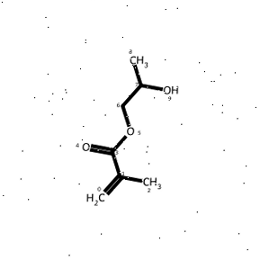 C=C(C)C(=O)OC[C](C)O